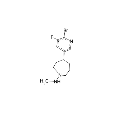 CNN1CCC[C@@H](c2cnc(Br)c(F)c2)CC1